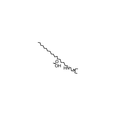 CC(=O)O.CCCCCCCCCCCCCCCCCCNCCN(CC)CC